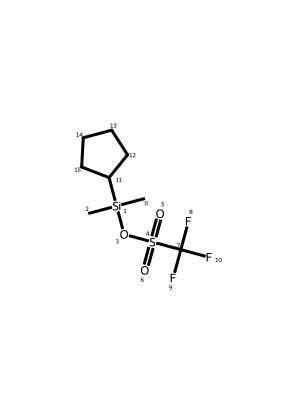 C[Si](C)(OS(=O)(=O)C(F)(F)F)C1CCCC1